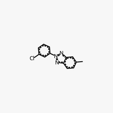 Cc1ccc2nn(-c3cccc(Cl)c3)nc2c1